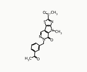 CC(=O)c1cccc(Cn2ncc3c4sc([S+](C)[O-])nc4n(C)c3c2=O)c1